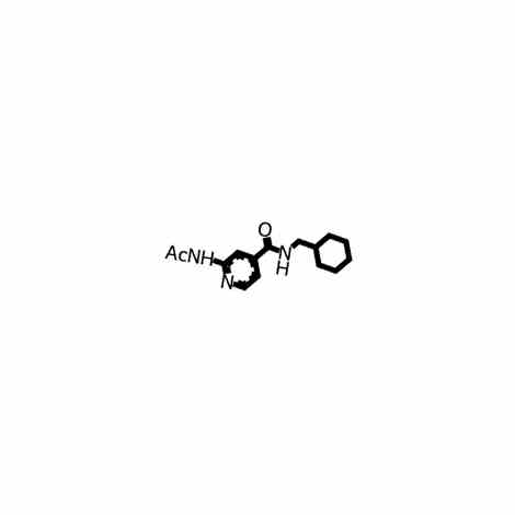 CC(=O)Nc1cc(C(=O)NCC2CCCCC2)ccn1